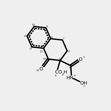 O=C(O)C1(C(=O)NO)CCc2ccccc2C1=O